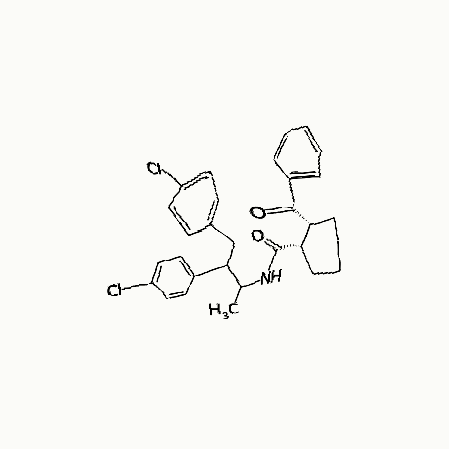 CC(NC(=O)[C@H]1CCCC[C@H]1C(=O)c1ccccc1)C(Cc1ccc(Cl)cc1)c1ccc(Cl)cc1